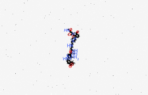 CNC(=O)CCC(C=O)N(C)C(=O)c1c(C=O)cccc1N1CCN(CCNCCC(=N)OC(=N)c2cnc(Nc3ccc4c(c3)C(C)(C)OC4=O)nc2N)CC1